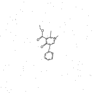 CCOC(=O)c1c(C)n(C)cc(-c2ccccc2)c1=O